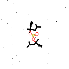 C#CC(C)(CC(C)C)OS(=O)OC(C)(C#C)CC(C)C